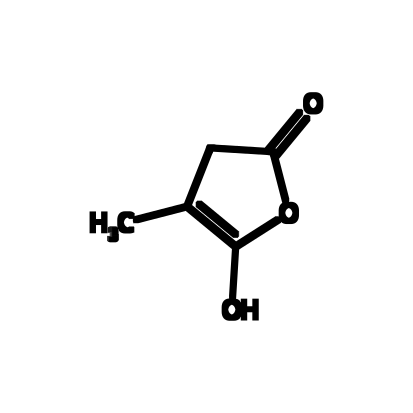 CC1=C(O)OC(=O)C1